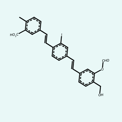 Cc1ccc(/C=C/c2ccc(/C=C/c3ccc(CO)c(OC=O)c3)cc2I)cc1C(=O)O